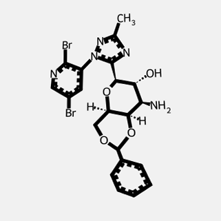 Cc1nc([C@@H]2O[C@@H]3COC(c4ccccc4)O[C@@H]3[C@H](N)[C@H]2O)n(-c2cc(Br)cnc2Br)n1